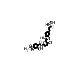 CS(=O)(=O)c1ccc(C(=O)Nc2ccc(Cl)c(-c3nc4cc(/C=C/C(=O)NO)ccc4[nH]3)c2)c(Cl)c1